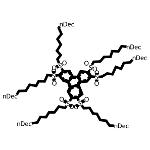 CCCCCCCCCCCCCCCCCS(=O)(=O)c1cc2c3cc(S(=O)(=O)CCCCCCCCCCCCCCCCC)c(S(=O)(=O)CCCCCCCCCCCCCCCCC)cc3c3cc(S(=O)(=O)CCCCCCCCCCCCCCCCC)c(S(=O)(=O)CCCCCCCCCCCCCCCCC)cc3c2cc1S(=O)(=O)CCCCCCCCCCCCCCCCC